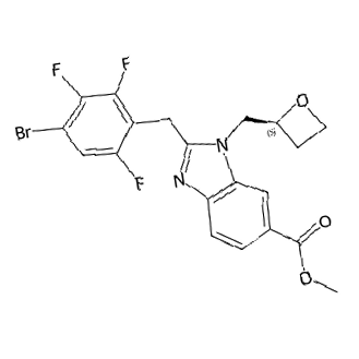 COC(=O)c1ccc2nc(Cc3c(F)cc(Br)c(F)c3F)n(C[C@@H]3CCO3)c2c1